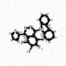 Fc1c(F)c(F)c2c(-n3c4ccccc4c4ccccc43)nnc(-c3cccs3)c2c1F